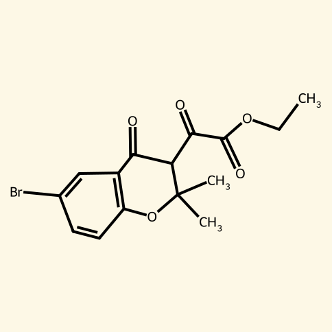 CCOC(=O)C(=O)C1C(=O)c2cc(Br)ccc2OC1(C)C